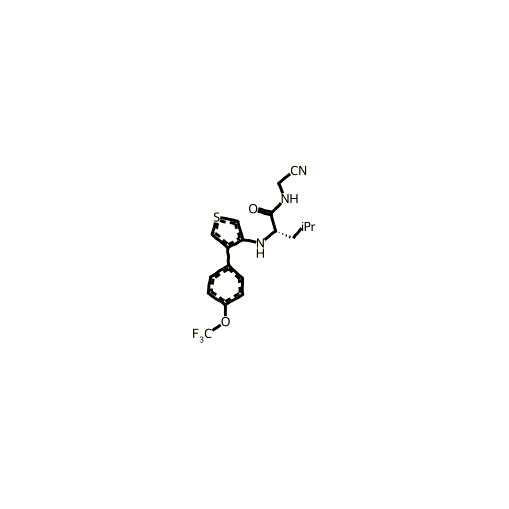 CC(C)C[C@H](Nc1cscc1-c1ccc(OC(F)(F)F)cc1)C(=O)NCC#N